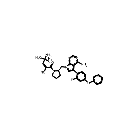 CC(C)(N)/C=C(/C#N)C(=O)N1CCC[C@@H]1Cn1cc(-c2ccc(Oc3ccccc3)cc2F)c2c(N)ncnc21